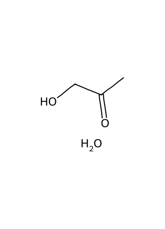 CC(=O)CO.O